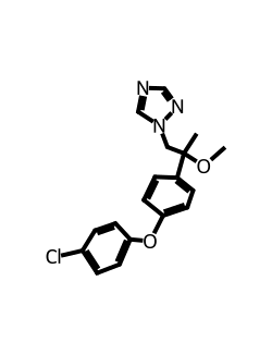 COC(C)(Cn1cncn1)c1ccc(Oc2ccc(Cl)cc2)cc1